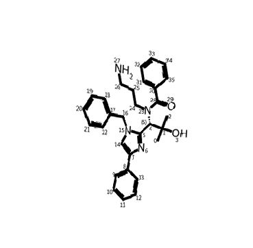 CC(C)(O)[C@H](c1nc(-c2ccccc2)cn1Cc1ccccc1)N(CCCN)C(=O)c1ccccc1